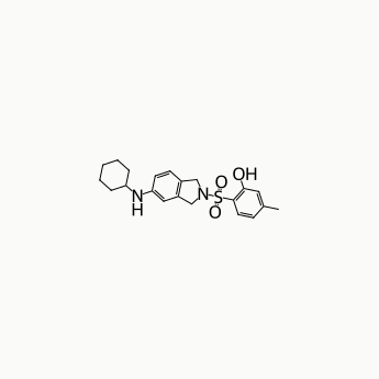 Cc1ccc(S(=O)(=O)N2Cc3ccc(NC4CCCCC4)cc3C2)c(O)c1